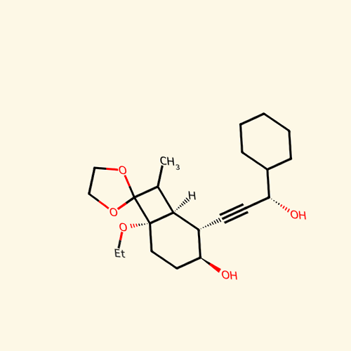 CCO[C@@]12CC[C@H](O)[C@@H](C#C[C@@H](O)C3CCCCC3)[C@@H]1C(C)C21OCCO1